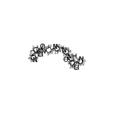 Cc1ccc(C(=O)NC2CCC(c3ccc(CN4CCC(NC(=O)c5ccc(Cl)c(-c6cccnc6)c5C)CC4)cn3)CC2)c(Cl)c1-c1cccnc1